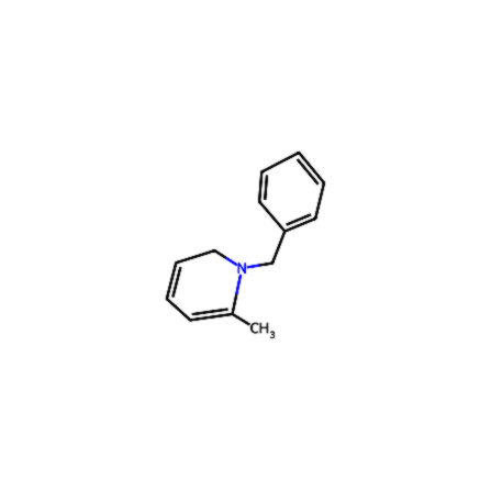 CC1=CC=CCN1Cc1ccccc1